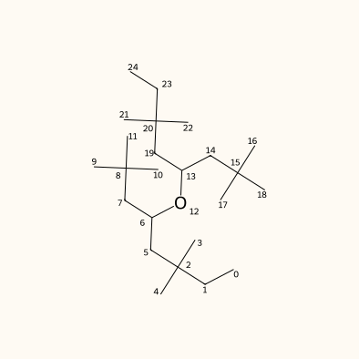 CCC(C)(C)CC(CC(C)(C)C)OC(CC(C)(C)C)CC(C)(C)CC